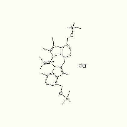 CC1=C(C)[CH]([Zr+2]([CH]2C(C)=C(C)c3c(CO[Si](C)(C)C)ccc(C)c32)=[Si](C)C)c2c(C)ccc(CO[Si](C)(C)C)c21.[Cl-].[Cl-]